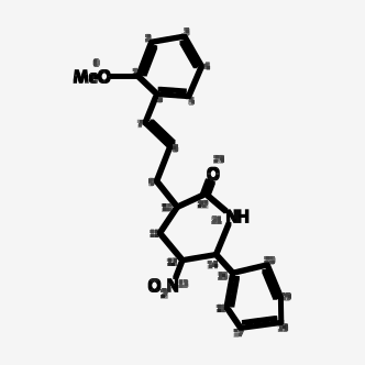 COc1ccccc1C=CCC1CC([N+](=O)[O-])C(c2ccccc2)NC1=O